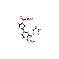 COC(=O)C1=CCC(c2ccc(OC)c(OC3CCCC3)c2)C1